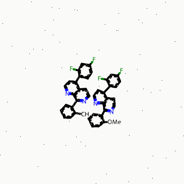 COc1ccccc1-c1nccc2c(-c3ccc(F)cc3F)ccnc12.Cc1ccccc1-c1nccc2c(-c3ccc(F)cc3F)ccnc12